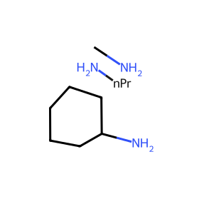 CCCN.CN.NC1CCCCC1